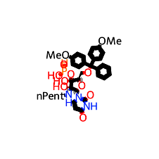 CCCCCN[C@]1(O)[C@H](n2ccc(=O)[nH]c2=O)O[C@H](COC(c2ccccc2)(c2ccc(OC)cc2)c2ccc(OC)cc2)[C@@]1(O)O[PH](=O)O